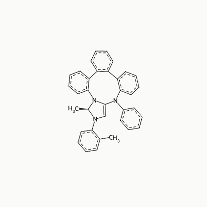 Cc1ccccc1N1C=C2N(c3ccccc3)c3ccccc3-c3ccccc3-c3ccccc3N2[C@@H]1C